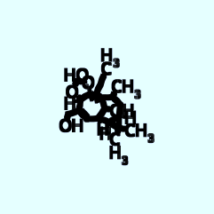 CC1=CC23C(C)C[C@@H]4[C@H]([C@H](C=C(CO)[C@H]5OCO[C@]52[C@H]1O)C3O)C4(C)C